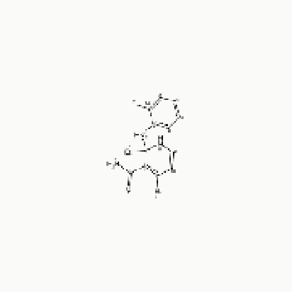 CCC1=C(C(N)=O)C(CC)(Nc2ccccc2C)NC=C1